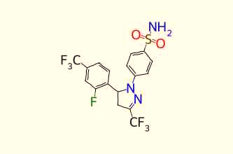 NS(=O)(=O)c1ccc(N2N=C(C(F)(F)F)CC2c2ccc(C(F)(F)F)cc2F)cc1